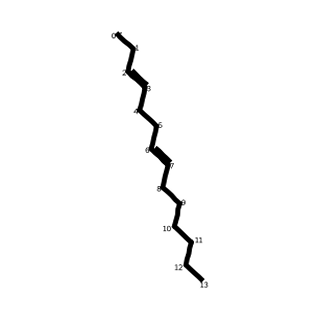 [CH2]CC=CCCC=CCCCCCC